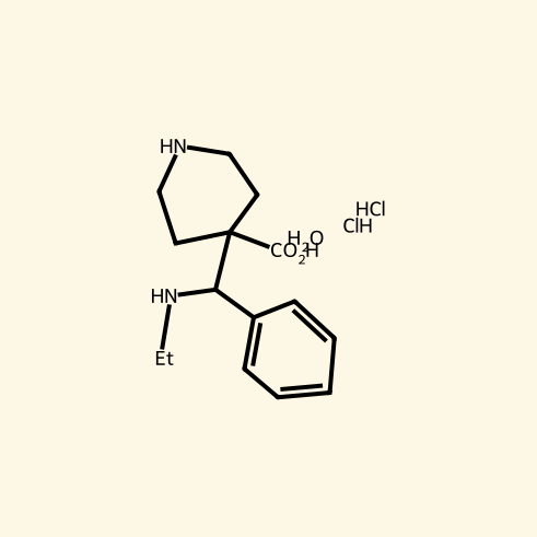 CCNC(c1ccccc1)C1(C(=O)O)CCNCC1.Cl.Cl.O